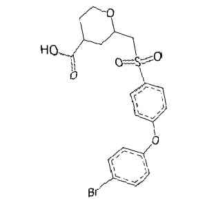 O=C(O)C1CCOC(CS(=O)(=O)c2ccc(Oc3ccc(Br)cc3)cc2)C1